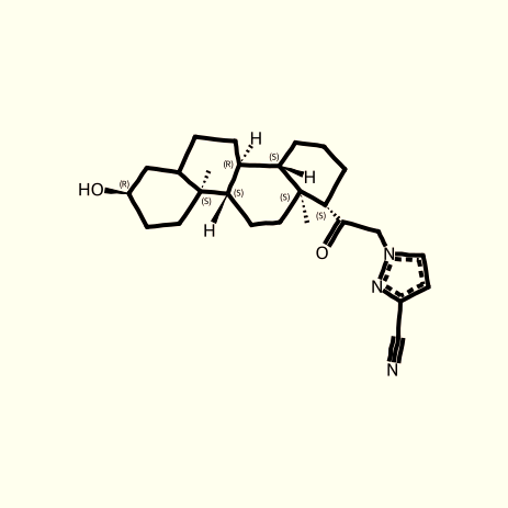 C[C@]12CC[C@H]3[C@@H](CCC4C[C@H](O)CC[C@@]43C)[C@@H]1CCC[C@@H]2C(=O)Cn1ccc(C#N)n1